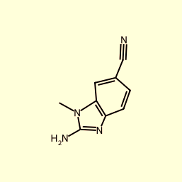 Cn1c(N)nc2ccc(C#N)cc21